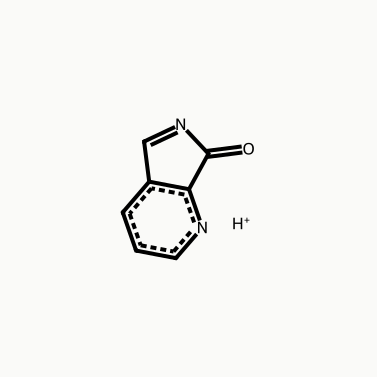 O=C1N=Cc2cccnc21.[H+]